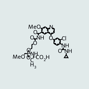 COCP(=O)(N[C@@H](C)C(=O)O)OCCOC(=O)NC(=O)c1cc2c(Oc3ccc(NC(=O)NC4CC4)c(Cl)c3)ccnc2cc1OC